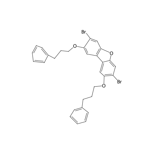 Brc1cc2oc3cc(Br)c(OCCCc4ccccc4)cc3c2cc1OCCCc1ccccc1